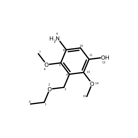 CCOCc1c(OC)c(N)cc(O)c1OC